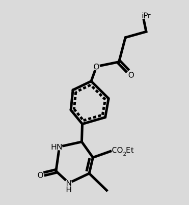 CCOC(=O)C1=C(C)NC(=O)NC1c1ccc(OC(=O)CCC(C)C)cc1